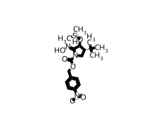 C[SiH](C)OC1/C(=N/O)N(C(=O)OCc2ccc([N+](=O)[O-])cc2)C[C@H]1C(C)(C)C